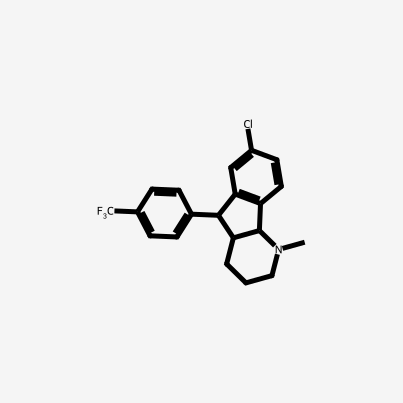 CN1CCCC2C(c3ccc(C(F)(F)F)cc3)c3cc(Cl)ccc3C21